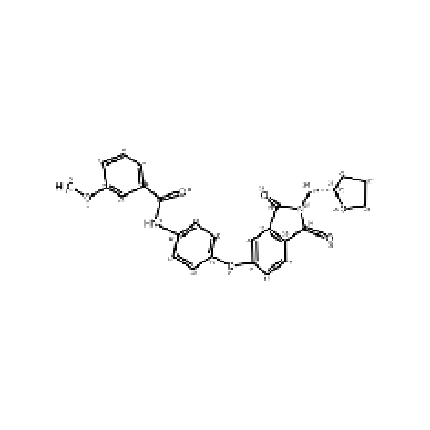 COc1cccc(C(=O)Nc2ccc(Oc3ccc4c(c3)C(=O)N(C[C@@H]3CCCO3)C4=O)cc2)c1